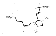 CCCCCC(C)(C)/C=C/[C@@H]1[C@@H](C/C=C\CCCC(=O)O)[C@@H](O)C[C@H]1O